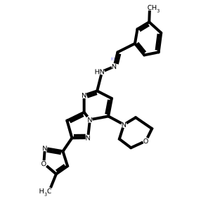 Cc1cccc(/C=N/Nc2cc(N3CCOCC3)n3nc(-c4cc(C)on4)cc3n2)c1